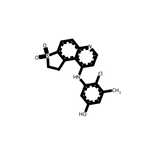 Cc1cc(O)cc(Nc2ccnc3ccc4c(c23)CCS4(=O)=O)c1Cl